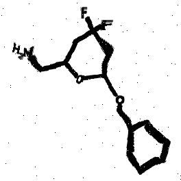 NCC1CC(F)(F)CC(OCc2ccccc2)O1